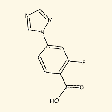 O=C(O)c1ccc(-n2cncn2)cc1F